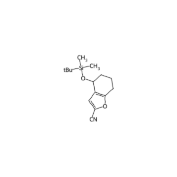 CC(C)(C)[Si](C)(C)OC1CCCc2oc(C#N)cc21